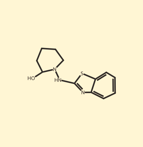 OC1CCCCN1Nc1nc2ccccc2s1